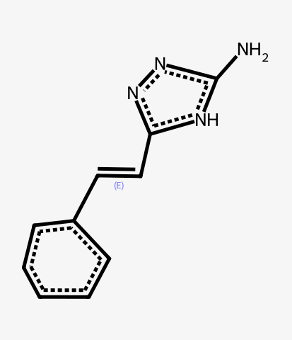 Nc1nnc(/C=C/c2ccccc2)[nH]1